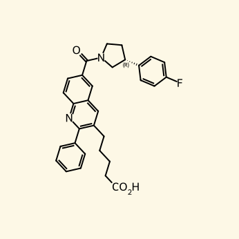 O=C(O)CCCCc1cc2cc(C(=O)N3CC[C@H](c4ccc(F)cc4)C3)ccc2nc1-c1ccccc1